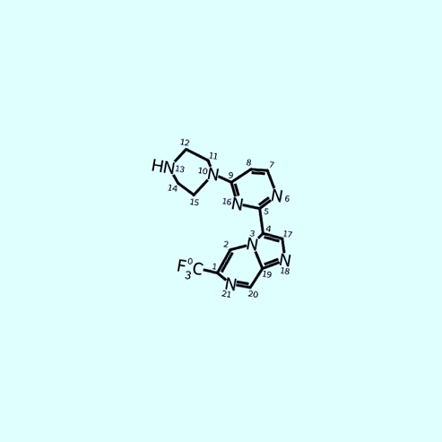 FC(F)(F)c1cn2c(-c3nccc(N4CCNCC4)n3)cnc2cn1